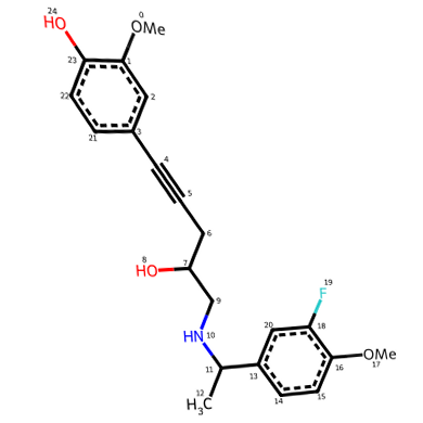 COc1cc(C#CCC(O)CNC(C)c2ccc(OC)c(F)c2)ccc1O